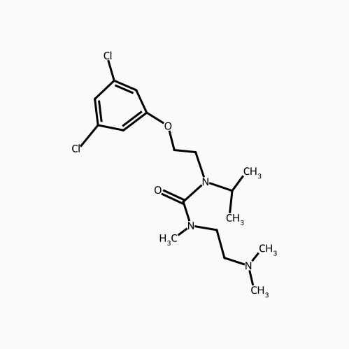 CC(C)N(CCOc1cc(Cl)cc(Cl)c1)C(=O)N(C)CCN(C)C